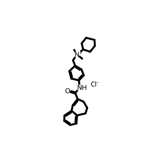 C[N+](C)(Cc1ccc(NC(=O)C2=Cc3ccccc3CCC2)cc1)C1CCCCC1.[Cl-]